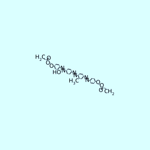 C=CC(=O)OCOc1ccc(N=Nc2ccc(N=Nc3ccc(N=Nc4ccc(OCOC(=O)C=C)cc4O)cc3)c(C)c2)cc1